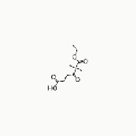 CCOC(=O)C(C)(C)C(=O)CCC(=O)O